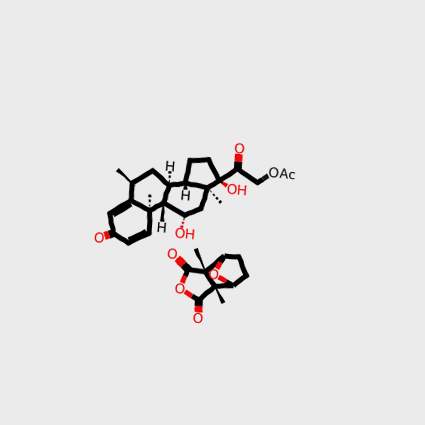 CC(=O)OCC(=O)[C@@]1(O)CC[C@H]2[C@@H]3C[C@H](C)C4=CC(=O)C=C[C@]4(C)[C@H]3[C@@H](O)C[C@@]21C.C[C@@]12C(=O)OC(=O)[C@]1(C)C1CCC2O1